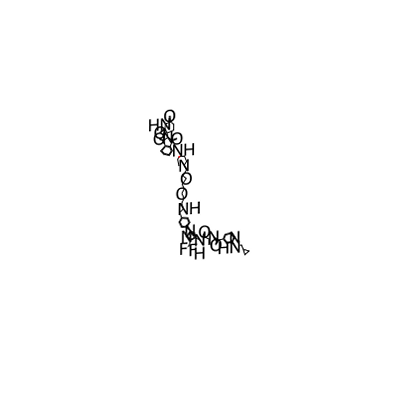 O=C1CCC(N2C(=O)c3cccc(NC4CCN(CCOCCOCCNCc5ccc(-n6cc(NC(=O)c7coc(-c8ccnc(NCC9CC9)c8)n7)c(C(F)F)n6)cc5)CC4)c3C2=O)C(=O)N1